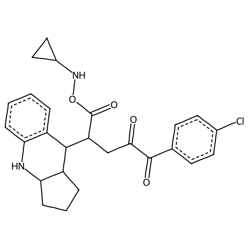 O=C(CC(C(=O)ONC1CC1)C1c2ccccc2NC2CCCC21)C(=O)c1ccc(Cl)cc1